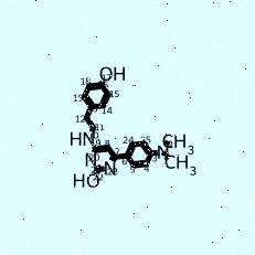 CN(C)c1ccc(-c2cc(NCCc3ccc(O)cc3)nc(O)n2)cc1